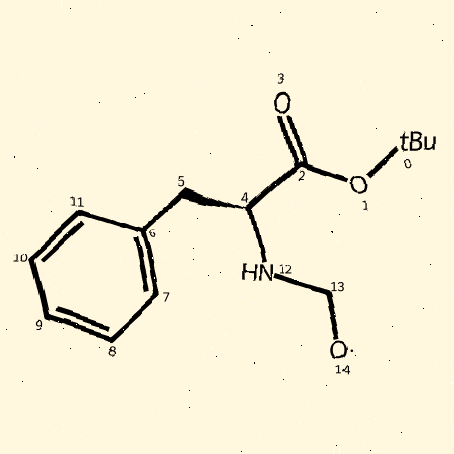 CC(C)(C)OC(=O)[C@H](Cc1ccccc1)NC[O]